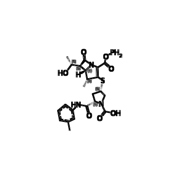 Cc1cccc(NC(=O)[C@@H]2C[C@H](SC3=C(C(=O)OP)N4C(=O)[C@H]([C@@H](C)O)[C@H]4[C@H]3C)CN2C(=O)O)c1